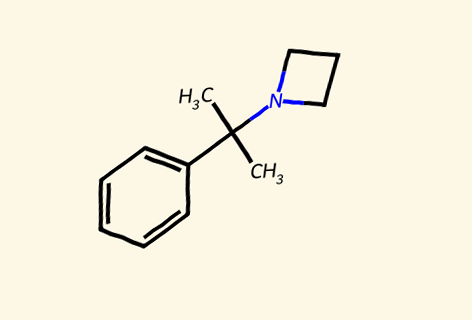 CC(C)(c1ccccc1)N1CCC1